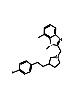 Cc1cccc2nc(CN3CCC(CCc4ccc(F)cc4)C3)n(C)c12